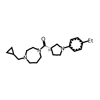 CCc1ccc(N2CC[C@H](C(=O)N3CCCN(CC4CC4)CC3)C2)cc1